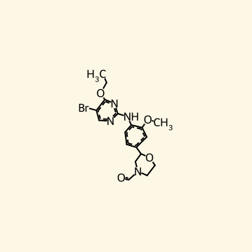 CCOc1nc(Nc2ccc(C3CN(C=O)CCO3)cc2OC)ncc1Br